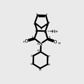 O=C1C2C3C=CC(C3)[C@H]2C(=O)N1C1CCCCC1